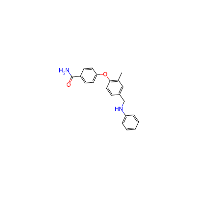 Cc1cc(CNc2ccccc2)ccc1Oc1ccc(C(N)=O)cc1